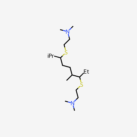 CCC(SCCN(C)C)C(C)CCC(SCCN(C)C)C(C)C